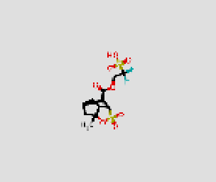 CC12CC3CC1C(C3C(=O)OCC(F)(F)S(=O)(=O)O)S(=O)(=O)O2